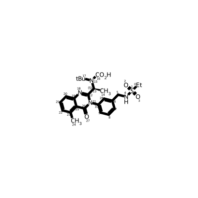 CCS(=O)(=O)NCc1cccc(-n2c([C@H](C)N(C(=O)O)C(C)(C)C)nc3cccc(C)c3c2=O)c1